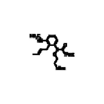 CC=CCc1c(NC(=O)O)cccc1N(OCCCCCCCCCCCC)C(=O)C(C)CCC